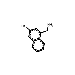 NCc1cc(O)cc2ccccc12